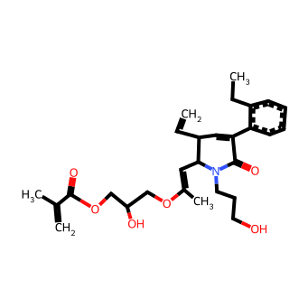 C=CC1C=C(c2ccccc2CC)C(=O)N(CCCO)C1/C=C(\C)OCC(O)COC(=O)C(=C)C